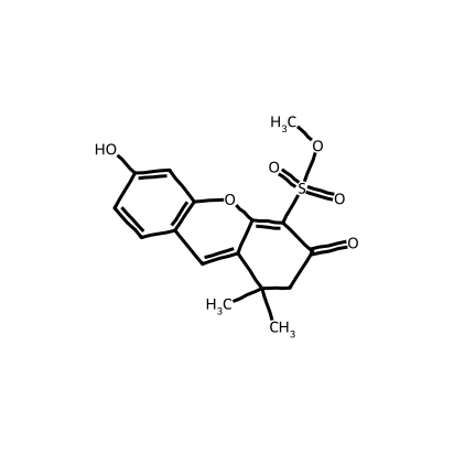 COS(=O)(=O)C1=C2Oc3cc(O)ccc3C=C2C(C)(C)CC1=O